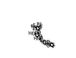 O=C(O)CC(NC(=O)CN1CCN(S(=O)(=O)c2ccccc2)CC1)C(=O)COc1cc(C(F)(F)F)cc(C(F)(F)F)c1